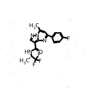 Cc1cc(-c2ccc(F)cc2)nc2c(C(=O)N[C@@H](C)C(F)(F)F)cnn12